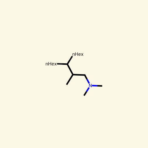 CCCCCCC(CCCCCC)C(C)CN(C)C